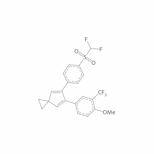 COc1ccc(C2=CC3(C=C2c2ccc(S(=O)(=O)C(F)F)cc2)CC3)cc1C(F)(F)F